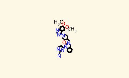 COc1cc2ncnc(N3CCC(CN4Cc5ccccc5N(c5ccnc(C#N)n5)C4=O)CC3)c2cc1OC